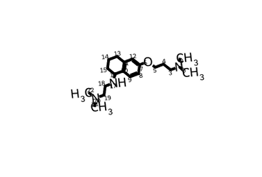 CN(C)CCCOc1ccc2c(c1)CCCC2NCCN(C)C